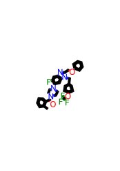 Cc1ccccc1C(=O)N1CCN(c2cc3c(cc2F)nc(COc2ccccc2)n3Cc2ccc(OC(F)(F)F)cc2)CC1